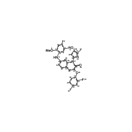 COc1cc(F)c([N+](=O)[O-])cc1Nc1ncc2cc(Oc3ccc(F)cc3F)c(=O)n(-c3ccn(C)n3)c2n1